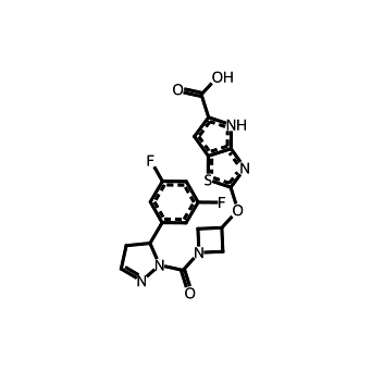 O=C(O)c1cc2sc(OC3CN(C(=O)N4N=CCC4c4cc(F)cc(F)c4)C3)nc2[nH]1